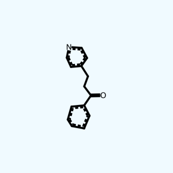 O=C(CCc1ccncc1)c1ccccc1